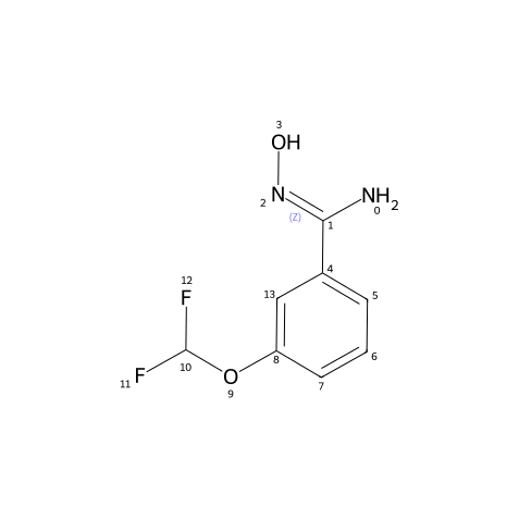 N/C(=N\O)c1cccc(OC(F)F)c1